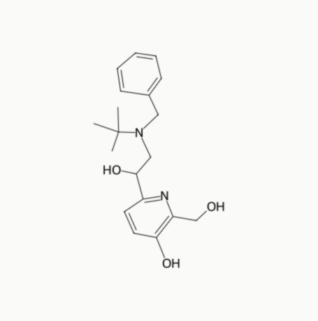 CC(C)(C)N(Cc1ccccc1)CC(O)c1ccc(O)c(CO)n1